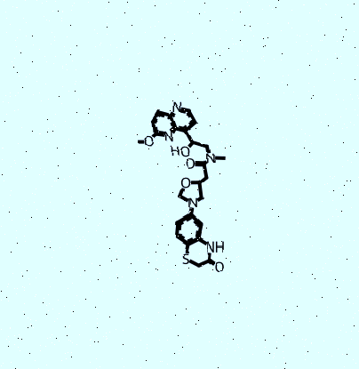 COc1ccc2nccc(C(O)CN(C)C(=O)CC3CN(c4ccc5c(c4)NC(=O)CS5)CO3)c2n1